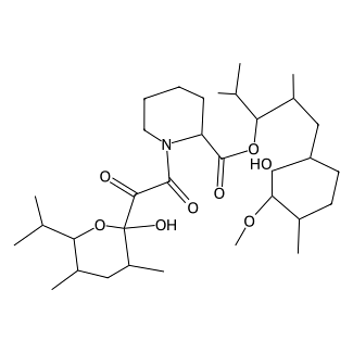 COC1C(C)CCC(CC(C)C(OC(=O)C2CCCCN2C(=O)C(=O)C2(O)OC(C(C)C)C(C)CC2C)C(C)C)C1O